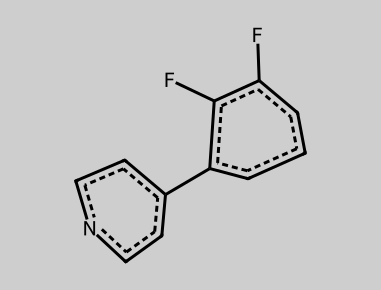 Fc1cccc(-c2ccncc2)c1F